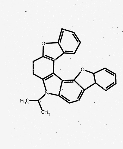 CC(C)n1c2c(c3c4c(ccc31)C1C=CC=CC1O4)-c1c(oc3ccccc13)CC2